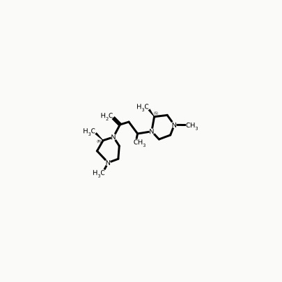 C=C(CC(C)N1CCN(C)C[C@@H]1C)N1CCN(C)C[C@H]1C